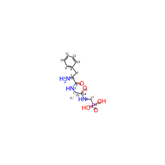 C[C@H](NC(=O)[C@@H](N)Cc1ccccc1)C(=O)NCP(=O)(O)O